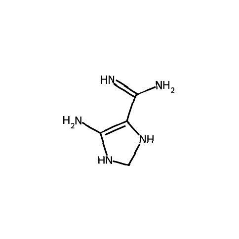 N=C(N)C1=C(N)NCN1